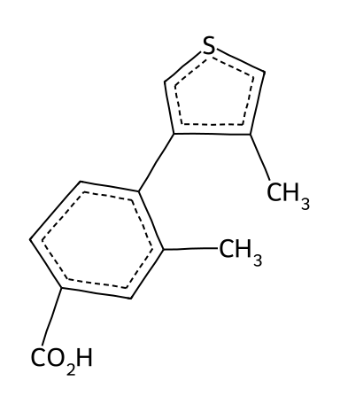 Cc1cc(C(=O)O)ccc1-c1cscc1C